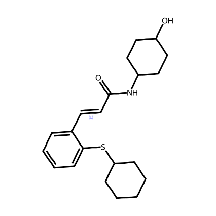 O=C(/C=C/c1ccccc1SC1CCCCC1)NC1CCC(O)CC1